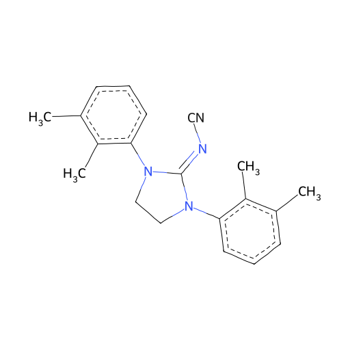 Cc1cccc(N2CCN(c3cccc(C)c3C)C2=NC#N)c1C